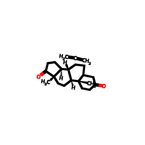 C=C=C.C[C@]12CCC(=O)CC1CC[C@@H]1[C@@H]2CC[C@]2(C)C(=O)CC[C@@H]12